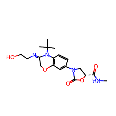 CNC(=O)[C@H]1CN(c2ccc3c(c2)OC/C(=N\CCO)N3C(C)(C)C)C(=O)O1